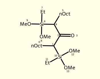 CCCCCCCCC(C(=O)C(CCCCCCCC)[Si](CC)(OC)OC)[Si](CC)(OC)OC